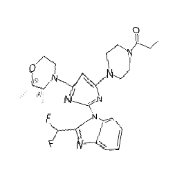 CCC(=O)N1CCN(c2cc(N3CCO[C@@H](C)[C@H]3C)nc(-n3c(C(F)F)nc4ccccc43)n2)CC1